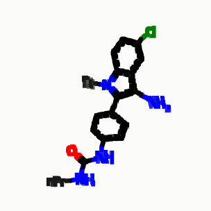 CCCNC(=O)Nc1ccc(-c2c(N)c3cc(Cl)ccc3n2CC)cc1